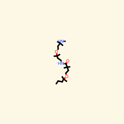 CCCC(C)(C)OCCC(C)(C)C(=O)NCCC(C)(C)OCCC(C)(C)NC